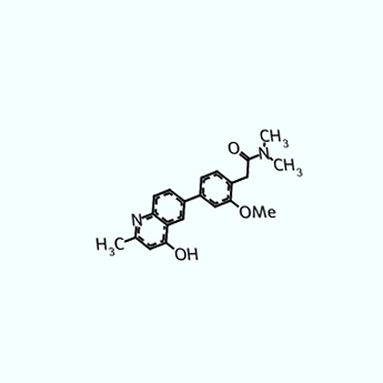 COc1cc(-c2ccc3nc(C)cc(O)c3c2)ccc1CC(=O)N(C)C